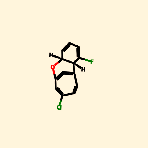 FC1=CC=C[C@H]2OC3=C=C(C=CC(Cl)=C3)[C@@H]12